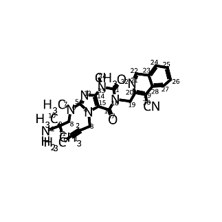 CC#CCn1c(N(C)CC(C)(C)N)nc2c1c(=O)n(Cc1ncc3ccccc3c1C#N)c(=O)n2C